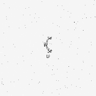 [Li].[Se]=[W]=[Se]